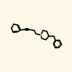 C(#CC1=CC[CH]C=C1)CCN1CCC(Cc2ccccc2)CC1